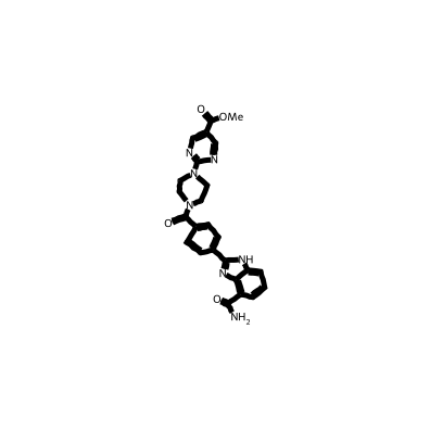 COC(=O)c1cnc(N2CCN(C(=O)c3ccc(-c4nc5c(C(N)=O)cccc5[nH]4)cc3)CC2)nc1